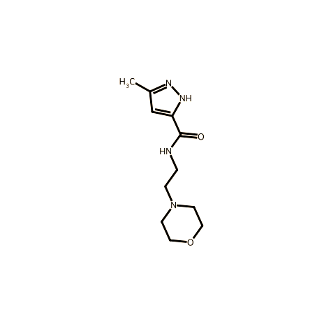 Cc1cc(C(=O)NCCN2CCOCC2)[nH]n1